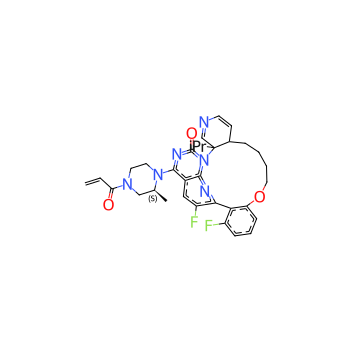 C=CC(=O)N1CCN(c2nc(=O)n3c4nc(c(F)cc24)-c2c(F)cccc2OCCCCC2C=CN=CC23C(C)C)[C@@H](C)C1